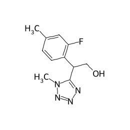 Cc1ccc(C(CO)c2nnnn2C)c(F)c1